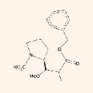 COC(C(C)C(=O)OCc1ccccc1)[C@@H]1CCCN1C(=O)O